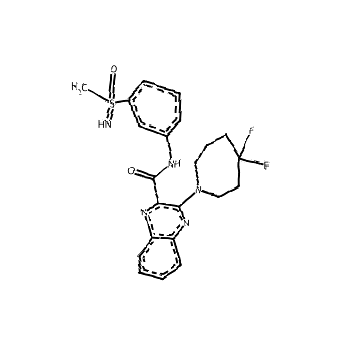 CS(=N)(=O)c1cccc(NC(=O)c2nc3ccccc3nc2N2CCCC(F)(F)CC2)c1